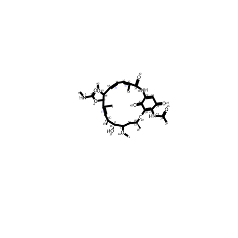 CNC(=O)OC1/C(C)=C/[C@H](C)[C@@H](O)C(OC)C[C@H](C)CC2=C(NC(C)=O)C(=O)C=C(NC(=O)/C(C)=C/C=C\C1OC)C2=O